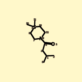 CC(C)CC(=O)N1CCS(C)(C)CC1